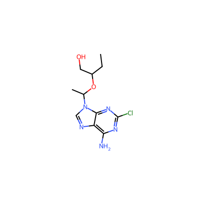 CCC(CO)OC(C)n1cnc2c(N)nc(Cl)nc21